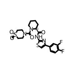 O=C(Nc1nc(-c2ccc(F)c(F)c2)cs1)[C@@H]1CCCCN1C(=O)N1CCS(=O)(=O)CC1